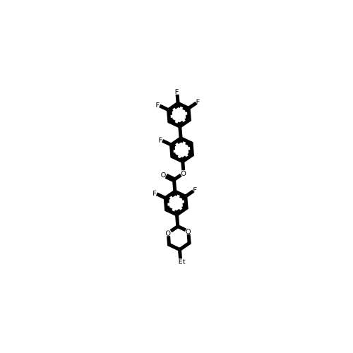 CCC1COC(c2cc(F)c(C(=O)Oc3ccc(-c4cc(F)c(F)c(F)c4)c(F)c3)c(F)c2)OC1